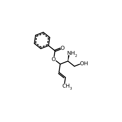 C/C=C/C(OC(=O)c1ccccc1)[C@@H](N)CO